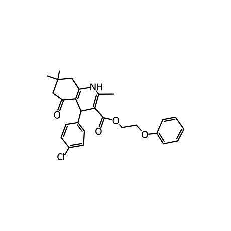 CC1=C(C(=O)OCCOc2ccccc2)C(c2ccc(Cl)cc2)C2=C(CC(C)(C)CC2=O)N1